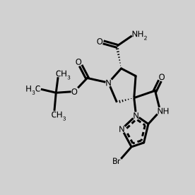 CC(C)(C)OC(=O)N1C[C@]2(C[C@H]1C(N)=O)C(=O)Nc1cc(Br)nn12